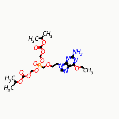 CCOc1nc(N)nc2c1ncn2CCOCP(=O)(OCOC(=O)OC(C)C)OCOC(=O)OC(C)C